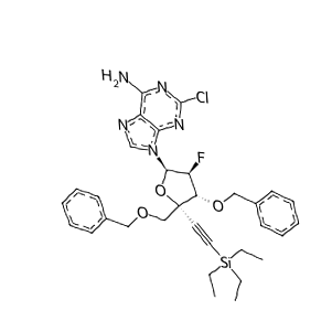 CC[Si](C#C[C@]1(COCc2ccccc2)O[C@@H](n2cnc3c(N)nc(Cl)nc32)[C@@H](F)[C@@H]1OCc1ccccc1)(CC)CC